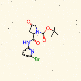 CC(C)(C)OC(=O)N1CC(=O)CC1C(=O)Nc1cccc(Br)n1